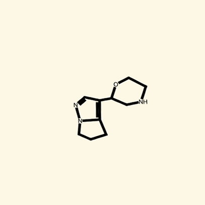 c1nn2c(c1C1CNCCO1)CCC2